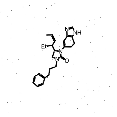 C/C=C\C(CC)C1CN(CCCc2ccccc2)C(=O)N1C1=Cc2nc[nH]c2CC1